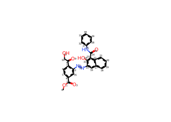 COC(=O)c1ccc(C(=O)CO)c(/N=N/c2cc3ccccc3c(C(=O)Nc3ccccc3)c2O)c1